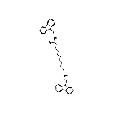 O=C(NCCCCCCCCCC(C(=O)O)C(=O)OCC1c2ccccc2-c2ccccc21)OCC1c2ccccc2-c2ccccc21